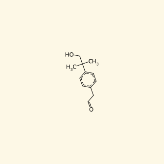 CC(C)(CO)c1ccc(CC=O)cc1